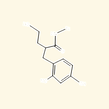 CCNC(=O)C(CCO)Cc1ccc(O)cc1O